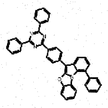 c1ccc(-c2nc(-c3ccccc3)nc(-c3ccc(-c4c5cccc(-c6ccccc6)c5n5c4oc4ccccc45)cc3)n2)cc1